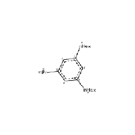 CC[CH]c1cc(CCCCCC)cc(CCCCCC)c1